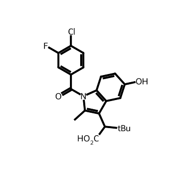 Cc1c(C(C(=O)O)C(C)(C)C)c2cc(O)ccc2n1C(=O)c1ccc(Cl)c(F)c1